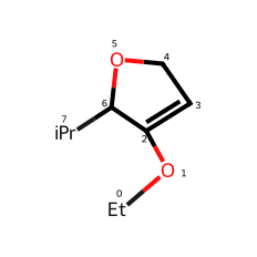 CCOC1=CCOC1C(C)C